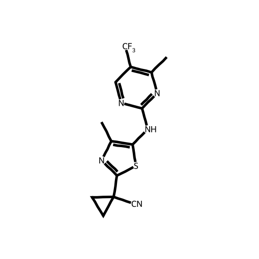 Cc1nc(Nc2sc(C3(C#N)CC3)nc2C)ncc1C(F)(F)F